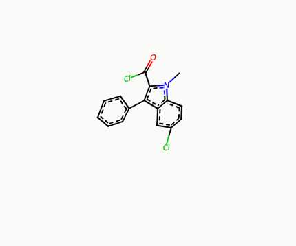 Cn1c(C(=O)Cl)c(-c2ccccc2)c2cc(Cl)ccc21